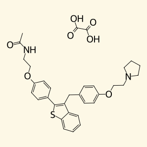 CC(=O)NCCOc1ccc(-c2sc3ccccc3c2Cc2ccc(OCCN3CCCC3)cc2)cc1.O=C(O)C(=O)O